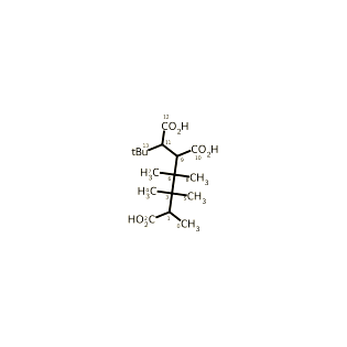 CC(C(=O)O)C(C)(C)C(C)(C)C(C(=O)O)C(C(=O)O)C(C)(C)C